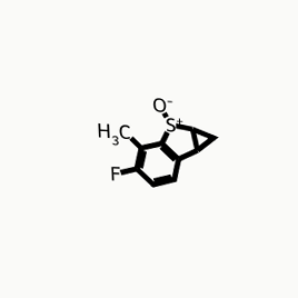 Cc1c(F)ccc2c1[S+]([O-])C1CC21